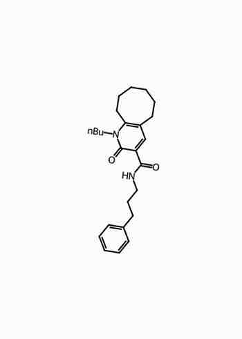 CCCCn1c2c(cc(C(=O)NCCCc3ccccc3)c1=O)CCCCCC2